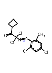 Cc1cc(Cl)cc(Cl)c1/N=N/C(Cl)(Cl)C(=O)C1CCC1